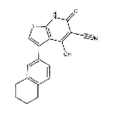 N#Cc1c(O)c2c(-c3ccc4c(c3)CCCC4)csc2[nH]c1=O